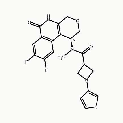 CN(C(=O)C1CN(c2ccsc2)C1)[C@@H]1COCc2[nH]c(=O)c3cc(F)c(F)cc3c21